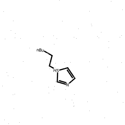 CCCCCC[SH]1[C]=NC=C1